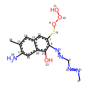 CN=NCN=Nc1c(SOOO)cc2cc(C)c(N)cc2c1O